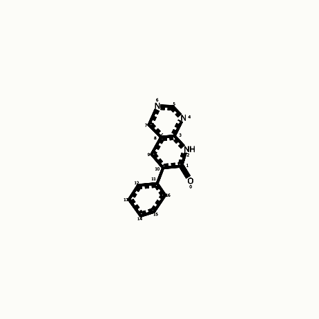 O=c1[nH]c2ncncc2cc1-c1ccccc1